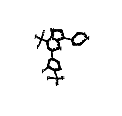 Fc1cc(-c2cc(C(F)(F)F)n3ncc(-c4ccncc4)c3n2)ccc1C(F)(F)F